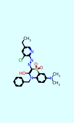 CCc1cnc(N=NC2=C(O)N(Cc3ccccc3)c3ccc(N(C)C)cc3S2(=O)=O)c(Cl)c1